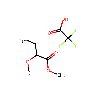 CCC(OC)C(=O)OC.O=C(O)C(F)(F)F